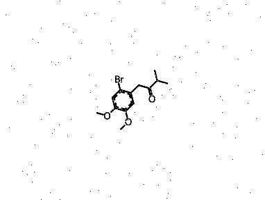 COc1cc(Br)c(CC(=O)C(C)C)cc1OC